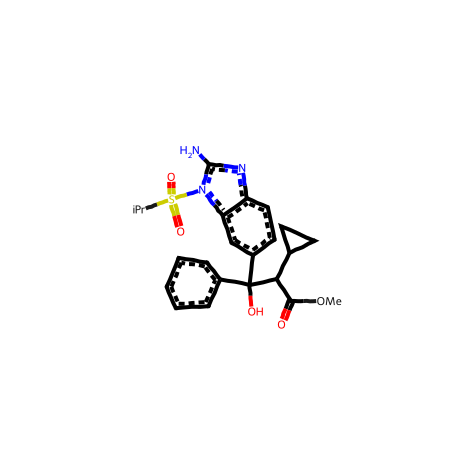 COC(=O)C(C1CC1)C(O)(c1ccccc1)c1ccc2nc(N)n(S(=O)(=O)C(C)C)c2c1